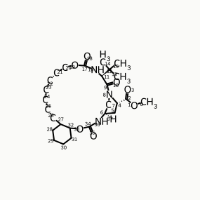 COC(=O)[C@@H]1C[C@@H]2CN1C(=O)[C@H](C(C)(C)C)NC(=O)OCCCCCCCC1CCCCC1OC(=O)N2